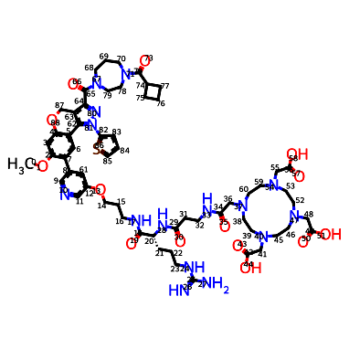 COc1cc2c(cc1-c1cncc(OCCCNC(=O)[C@@H](CCCNC(=N)N)NC(=O)CCNC(=O)CN3CCN(CC(=O)O)CCN(CC(=O)O)CCN(CC(=O)O)CC3)c1)-c1c(c(C(=O)N3CCCN(C(=O)C4CCC4)CC3)nn1-c1cccs1)CO2